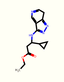 CCOC(=O)CC(NC1=NN=C2CC=NC=C21)C1CC1